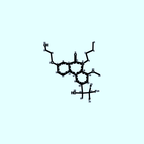 CCCCn1c(=O)c2cc(OCCO)ccc2c2cc(C(C)(O)C(F)(F)F)cc(OC)c21